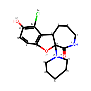 O=C1NCCCC2c3c(ccc(O)c3Cl)OC12N1CCCCC1